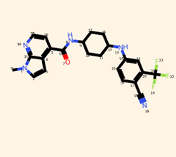 Cn1ccc2c(C(=O)NC3CCC(Nc4ccc(C#N)c(C(F)(F)F)c4)CC3)ccnc21